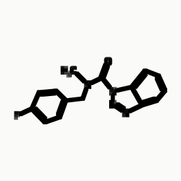 CN(Cc1ccc(F)cc1)C(=O)n1nnc2ccccc21